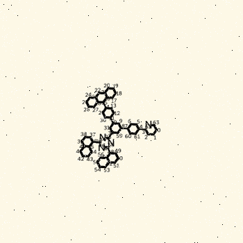 c1ccc(-c2ccc(-c3cc(-c4ccc(-c5c6ccccc6cc6ccccc56)cc4)cc(-c4nc(-c5cccc6ccccc56)nc(-c5cccc6ccccc56)n4)c3)cc2)nc1